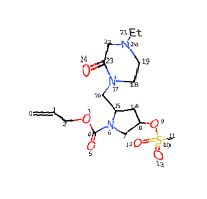 C=CCOC(=O)N1CC(OS(C)(=O)=O)CC1CN1CCN(CC)CC1=O